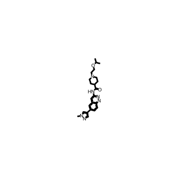 CC(C)OCCN1CCC(C(=O)Nc2cc3cc(-c4cnn(C)c4)ccc3nn2)CC1